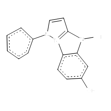 CN1C2=[Te](c3ccc(O)cc31)N(c1ccccc1)C=C2